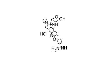 Cl.Cn1c(=O)c(Cc2ccc(C(=N)N)cc2)nc2cc(C(C)(NC(=O)CC(=O)O)C(=O)N3CCCC3)ccc21